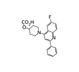 O=C(O)OC1CCN(c2cc(-c3ccccc3)nc3ccc(F)cc23)CC1